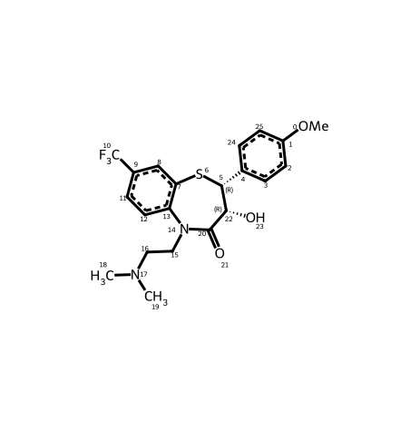 COc1ccc([C@H]2Sc3cc(C(F)(F)F)ccc3N(CCN(C)C)C(=O)[C@H]2O)cc1